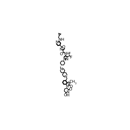 Cn1c(=O)n(C2CCC(=O)NC2=O)c2cccc(CN3CCC4(CC3)CCN(C[C@H]3CC[C@H](n5cc(NC(=O)c6coc(-c7ccnc(NCC8CC8)c7)n6)c(C(F)F)n5)CC3)CC4)c21